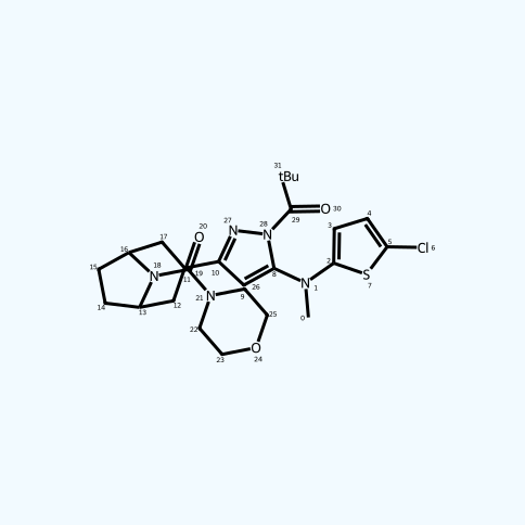 CN(c1ccc(Cl)s1)c1cc(C2CC3CCC(C2)N3C(=O)N2CCOCC2)nn1C(=O)C(C)(C)C